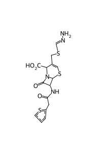 NN=CSCC1=CSC2C(NC(=O)Cc3cccs3)C(=O)N2C1C(=O)O